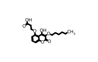 CCCCCCOc1c(O)c2c(OCCC(=O)O)cccc2oc1=O